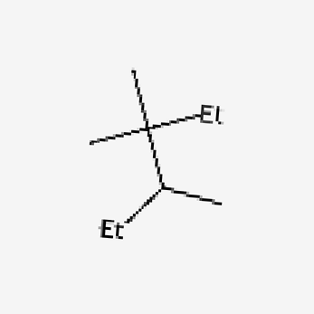 C[CH]C(C)C(C)(C)CC